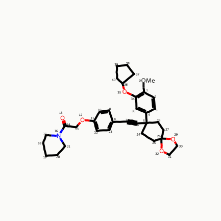 COc1ccc(C2(C#Cc3ccc(OCC(=O)N4CCCCC4)cc3)CCC3(CC2)OCCO3)cc1OC1CCCC1